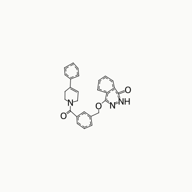 O=C(c1cccc(COc2n[nH]c(=O)c3ccccc23)c1)N1CC=C(c2ccccc2)CC1